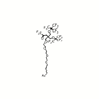 CC(=O)SCCOCCOCCOCCOCC(COC(C(F)(F)F)(C(F)(F)F)C(F)(F)F)(COC(C(F)(F)F)(C(F)(F)F)C(F)(F)F)CC(=O)C(F)(F)F